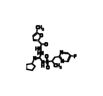 Cc1ccc(C(=O)NN/C(=N/C2CCCC2)NS(=O)(=O)C(C)Cc2ncc(F)cn2)o1